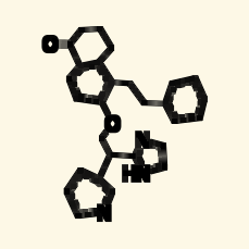 O=C1CCCc2c1ccc(OCC(c1cccnc1)c1ncc[nH]1)c2CCc1ccccc1